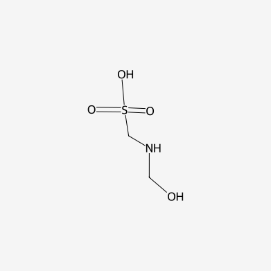 O=S(=O)(O)CNCO